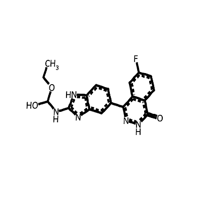 CCOC(O)Nc1nc2cc(-c3n[nH]c(=O)c4ccc(F)cc34)ccc2[nH]1